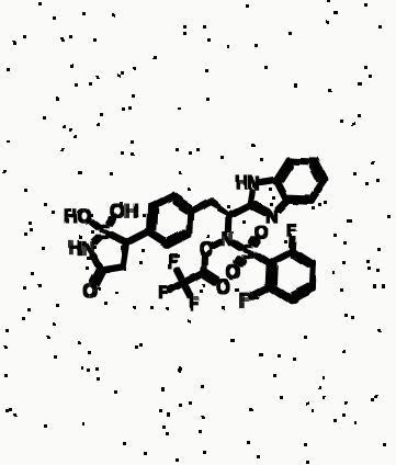 O=C1CC(c2ccc(C[C@@H](c3nc4ccccc4[nH]3)N(OC(=O)C(F)(F)F)S(=O)(=O)c3c(F)cccc3F)cc2)S(O)(O)N1